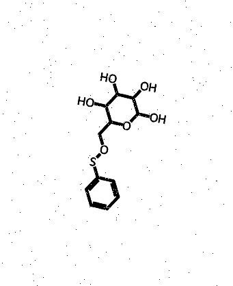 OC1OC(COSc2ccccc2)C(O)C(O)C1O